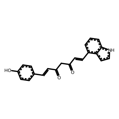 O=C(C=Cc1ccc(O)cc1)CC(=O)C=Cc1cccc2[nH]ccc12